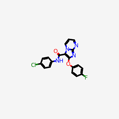 O=C(Nc1ccc(Cl)cc1)c1c(Oc2ccc(F)cc2)nc2ncccn12